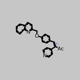 CC(=O)/C(=C/c1ccc(OCc2ccc3ccccc3n2)cc1)c1ccncc1